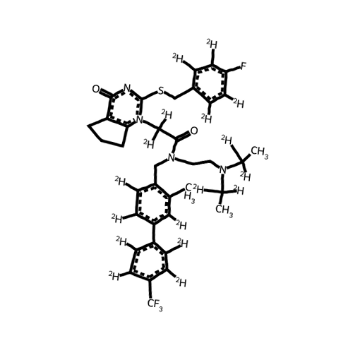 [2H]c1c([2H])c(CSc2nc(=O)c3c(n2C([2H])([2H])C(=O)N(CCN(C([2H])([2H])C)C([2H])([2H])C)Cc2c([2H])c([2H])c(-c4c([2H])c([2H])c(C(F)(F)F)c([2H])c4[2H])c([2H])c2C)CCC3)c([2H])c([2H])c1F